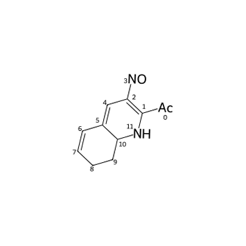 CC(=O)C1=C(N=O)C=C2C=CCCC2N1